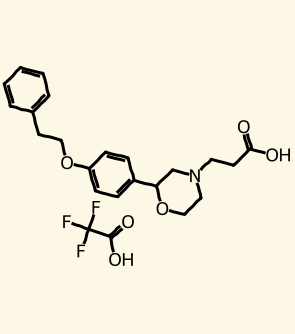 O=C(O)C(F)(F)F.O=C(O)CCN1CCOC(c2ccc(OCCc3ccccc3)cc2)C1